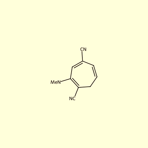 CNC1=C(C#N)CC=CC(C#N)=C1